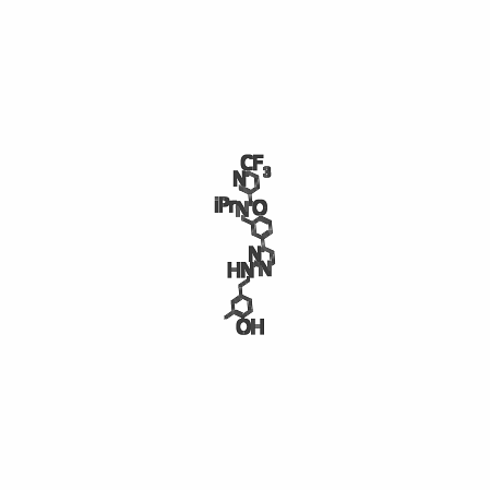 Cc1cc(CCNc2nccc(-c3cccc(CN(C(=O)c4ccc(C(F)(F)F)nc4)C(C)C)c3)n2)ccc1O